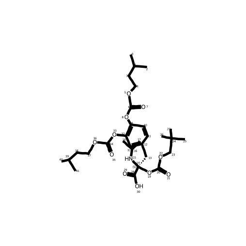 CC(C)CCOC(=O)Oc1ccc(C[C@](NC(C)C)(OC(=O)OCC(C)(C)C)C(=O)O)cc1OC(=O)OCCC(C)C